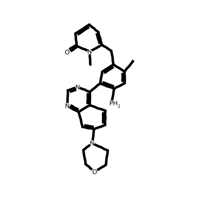 Cc1cc(P)c(-c2ncnc3cc(N4CCOCC4)ccc23)cc1Cc1cccc(=O)n1C